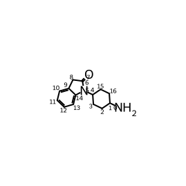 NC1CCC(N2C(=O)Cc3ccccc32)CC1